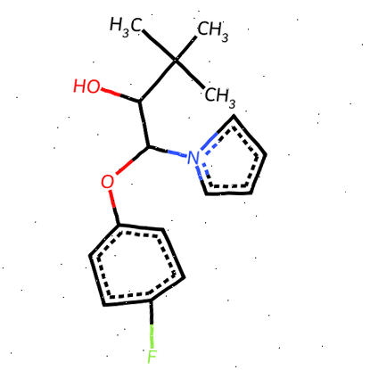 CC(C)(C)C(O)C(Oc1ccc(F)cc1)n1cccc1